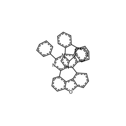 c1ccc(-c2nc(-c3ccccc3)nc(-c3cccc4oc5cccc(-c6ccc7c8c(cccc68)-c6ccccc6-7)c5c34)n2)cc1